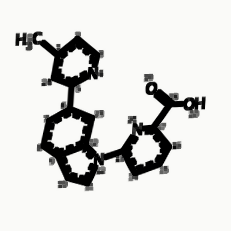 Cc1ccnc(-c2ccc3ccn(-c4cccc(C(=O)O)n4)c3c2)c1